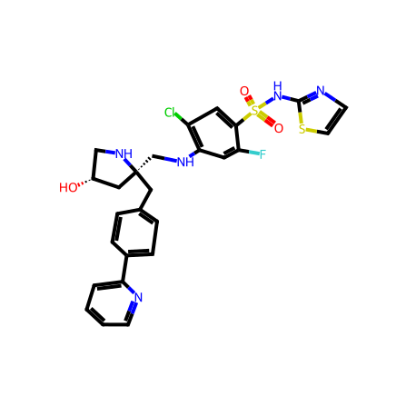 O=S(=O)(Nc1nccs1)c1cc(Cl)c(NC[C@]2(Cc3ccc(-c4ccccn4)cc3)C[C@H](O)CN2)cc1F